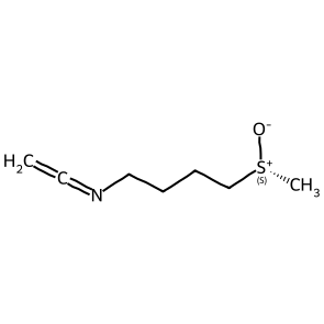 C=C=NCCCC[S@@+](C)[O-]